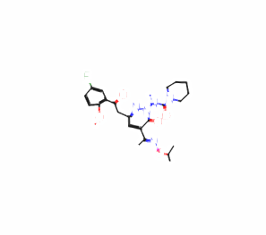 COc1ccc(F)cc1C(=O)Cc1cc(/C(C)=N/OC(C)C)c(=O)n(N(C)C(=O)N2CCCCC2)n1